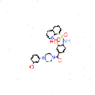 COc1cccc(N2CCN(C(=O)c3ccc(NS(=O)(=O)c4cccc5cccnc45)c(O)c3)CC2)c1